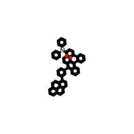 c1ccc(N(c2ccccc2)c2ccc(-c3ccccc3-c3c4ccccc4c(-c4cccc(-c5ccc6ccc7cccc8ccc5c6c78)c4)c4ccccc34)cc2)cc1